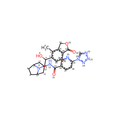 Cc1c(C(O)CN2C3CCC2CC(NC(=O)c2ccc(-n4cnnn4)nc2)C3)ccc2c1COC2=O